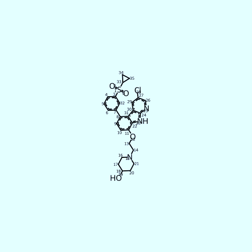 O=S(=O)(c1cccc(-c2ccc(OCCN3CCC(O)CC3)c3[nH]c4ncc(Cl)cc4c23)c1)C1CC1